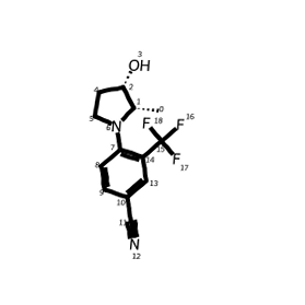 C[C@H]1[C@@H](O)CCN1c1ccc(C#N)cc1C(F)(F)F